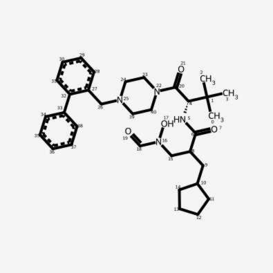 CC(C)(C)[C@H](NC(=O)C(CC1CCCC1)CN(O)C=O)C(=O)N1CCN(Cc2ccccc2-c2ccccc2)CC1